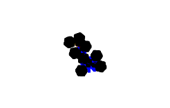 c1ccc(-c2cccc3c2sc2c(-n4c5ccccc5c5cc6c(cc54)c4c(nc(-c5ccccc5)n4-c4ccccc4)n6-c4ccccc4)cccc23)cc1